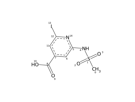 CS(=O)(=O)Nc1cc(C(=O)O)cc(I)n1